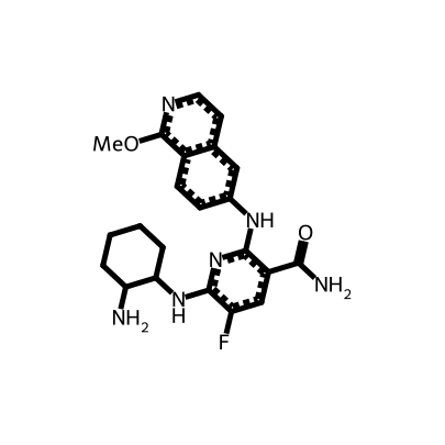 COc1nccc2cc(Nc3nc(NC4CCCCC4N)c(F)cc3C(N)=O)ccc12